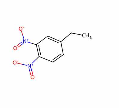 CCc1ccc([N+](=O)[O-])c([N+](=O)[O-])c1